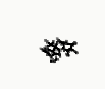 [2H]c1c([2H])n([C@@H]2O[C@@](CO)(N=[N+]=[N-])C(O)[C@]2(F)C(F)(F)F)c(=O)[nH]c1=O